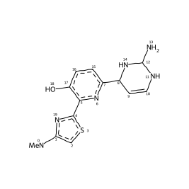 CNc1csc(-c2nc(C3C=CNC(N)N3)ccc2O)n1